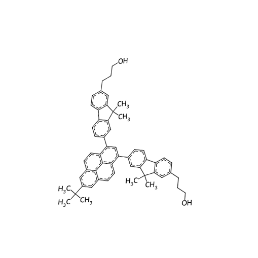 CC(C)(C)c1cc2ccc3c(-c4ccc5c(c4)C(C)(C)c4cc(CCCO)ccc4-5)cc(-c4ccc5c(c4)C(C)(C)c4cc(CCCO)ccc4-5)c4ccc(c1)c2c34